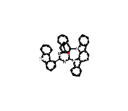 c1ccc(-c2nc(-c3cccc4oc5ccccc5c34)nc(-n3c4ccccc4c4ccc5c6ccccc6n(-c6ccccc6)c5c43)n2)cc1